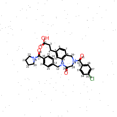 O=C(O)CCc1ccc2c(c1)N(Cc1ccc(C(=O)N3CCCC3)cc1)C(=O)CN(C(=O)c1ccc(Cl)cc1)C2